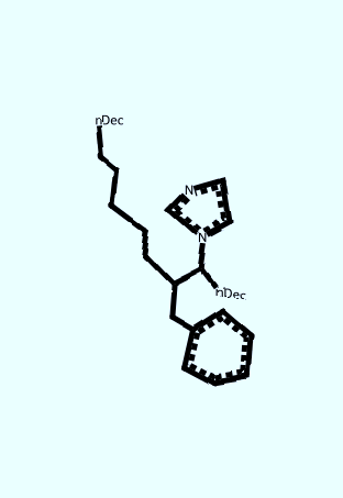 CCCCCCCCCCCCCCCC(Cc1ccccc1)C(CCCCCCCCCC)n1ccnc1